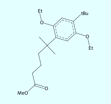 CCOc1cc(C(C)(C)CCCC(=O)OC)c(OCC)cc1C(C)(C)C